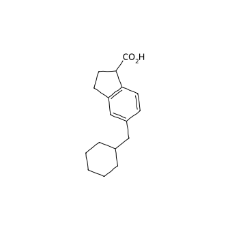 O=C(O)C1CCc2cc(CC3CCCCC3)ccc21